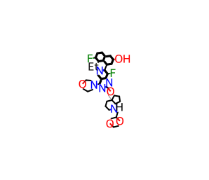 CCc1c(F)ccc2cc(O)cc(-c3ncc4c(N5CCCOCC5)nc(OC[C@]56CCC[C@H]5N(CC5COCCO5)CCC6)nc4c3F)c12